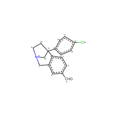 O=Cc1ccc2c(c1)CN1CCC2(c2ccc(Cl)cc2)C1